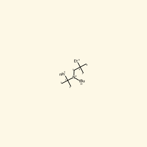 CCCC(C)(C)N(CC(C)(C)CC)C(C)(C)C